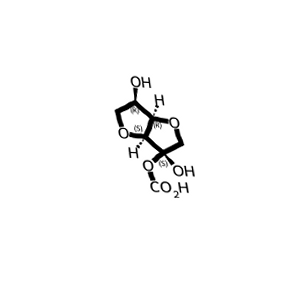 O=C(O)O[C@@]1(O)CO[C@@H]2[C@H](O)CO[C@@H]21